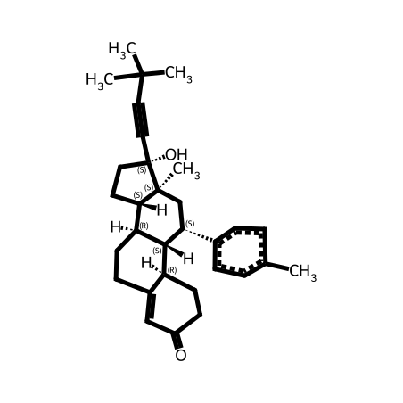 Cc1ccc([C@H]2C[C@@]3(C)[C@@H](CC[C@@]3(O)C#CC(C)(C)C)[C@@H]3CCC4=CC(=O)CC[C@@H]4[C@H]32)cc1